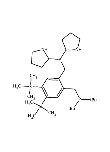 CC(C)(C)P(Cc1cc([Si](C)(C)C)c([Si](C)(C)C)cc1CP(C1CCCN1)C1CCCN1)C(C)(C)C